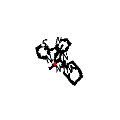 Cc1cc(C)nc(N2C3CCC2CN(C(=O)c2cccnc2-c2nccs2)C3)n1